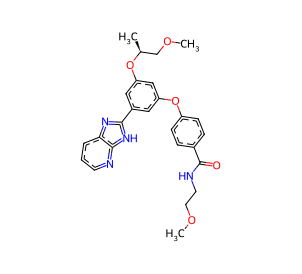 COCCNC(=O)c1ccc(Oc2cc(O[C@@H](C)COC)cc(-c3nc4cccnc4[nH]3)c2)cc1